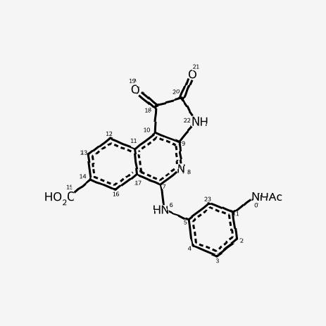 CC(=O)Nc1cccc(Nc2nc3c(c4ccc(C(=O)O)cc24)C(=O)C(=O)N3)c1